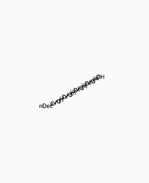 CCCCCCCCCCOCCOCCOCCOCCOCCOCCOCCOCCO